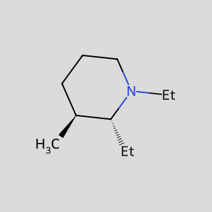 CC[C@@H]1[C@@H](C)CCCN1CC